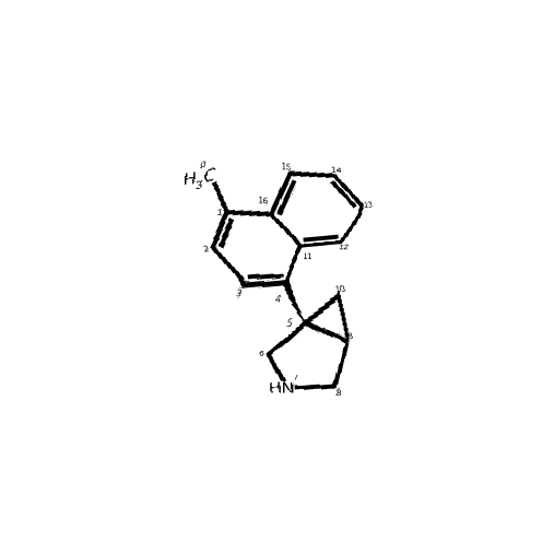 Cc1ccc([C@]23CNCC2C3)c2ccccc12